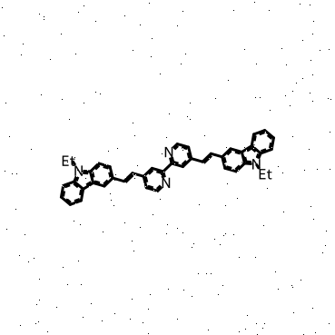 CCn1c2ccccc2c2cc(/C=C/c3ccnc(-c4cc(/C=C/c5ccc6c(c5)c5ccccc5n6CC)ccn4)c3)ccc21